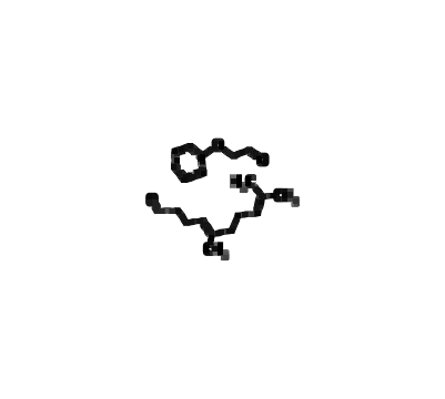 CC(C)=CCCC(C)=CCCC=O.O=CCOc1ccccc1